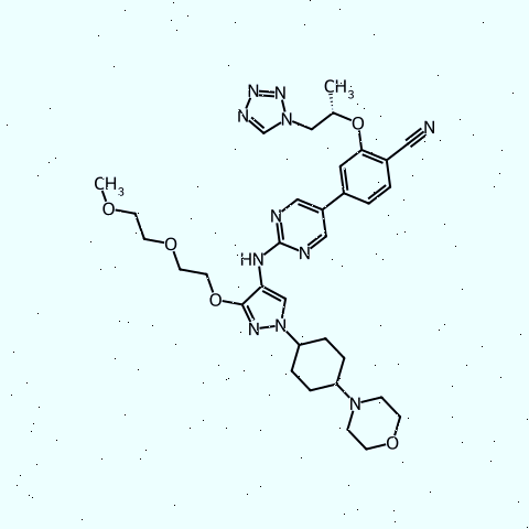 COCCOCCOc1nn(C2CCC(N3CCOCC3)CC2)cc1Nc1ncc(-c2ccc(C#N)c(O[C@@H](C)Cn3cnnn3)c2)cn1